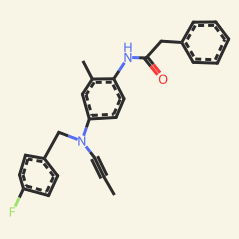 CC#CN(Cc1ccc(F)cc1)c1ccc(NC(=O)Cc2ccccc2)c(C)c1